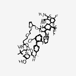 C[C@H](NC(=O)[C@@H]1C[C@@H](O)CN1C(=O)[C@@H](NC(=O)CCOCCCN1CCCC1COc1nc(N2CC3CCC(C2)N3)c2cc(C(F)(F)F)c(-c3ccc(F)c4sc(N)c(C#N)c34)c(F)c2n1)C(C)(C)C)c1ccc(-c2c(F)cccc2Cl)cc1